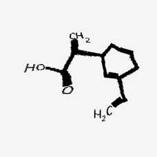 C=CC1=CC(C(=C)C(=O)O)CCC1